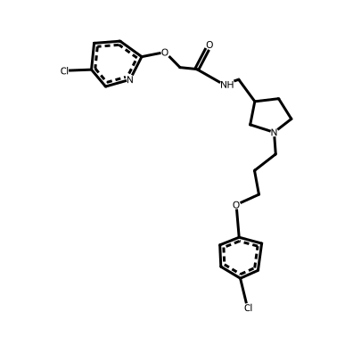 O=C(COc1ccc(Cl)cn1)NCC1CCN(CCCOc2ccc(Cl)cc2)C1